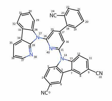 N#Cc1ccc2c(c1)c1cc(C#N)ccc1n2-c1cc(-c2ccccc2C#N)cc(-n2c3ccccc3c3cccnc32)n1